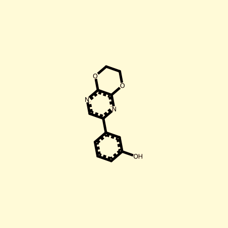 Oc1cccc(-c2cnc3c(n2)OCCO3)c1